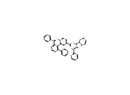 C1=CC2Sc3c(-c4ccccc4)nc(-c4ccc5nc(-c6ccccc6)c6cccc(-c7ccccc7)c6c5c4)nc3C2C=C1